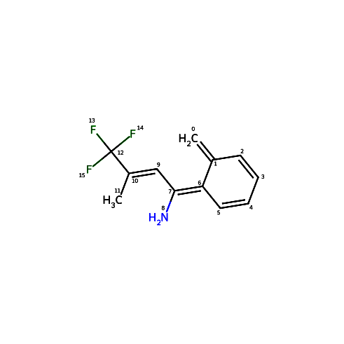 C=c1cccc/c1=C(N)/C=C(\C)C(F)(F)F